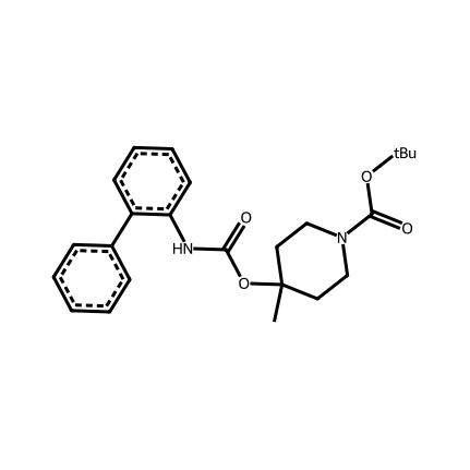 CC(C)(C)OC(=O)N1CCC(C)(OC(=O)Nc2ccccc2-c2ccccc2)CC1